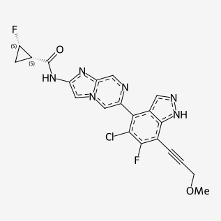 COCC#Cc1c(F)c(Cl)c(-c2cn3cc(NC(=O)[C@@H]4C[C@@H]4F)nc3cn2)c2cn[nH]c12